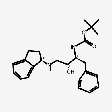 CC(C)(C)OC(=O)N[C@@H](Cc1ccccc1)[C@H](O)CN[C@@H]1CCc2ccccc21